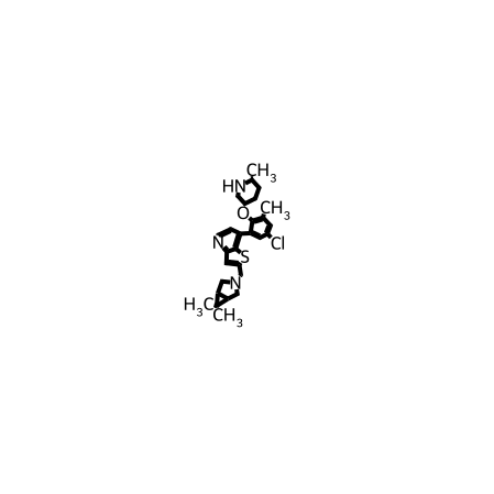 Cc1cc(Cl)cc(-c2ccnc3cc(CN4CC5C(C4)C5(C)C)sc23)c1O[C@H]1CC[C@H](C)NC1